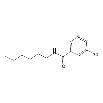 CCCCCCNC(=O)c1cn[c]c(Cl)c1